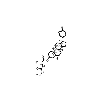 CC(C)[C@@H](NC(=O)OC(C)(C)C)C(=O)O[C@H]1CC[C@@]2(C)[C@H](CC[C@@H]3[C@@H]2CC[C@]2(C)[C@@H](c4ccc(=O)oc4)CC[C@]32O)C1